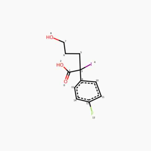 O=C(O)C(I)(CCCO)c1ccc(F)cc1